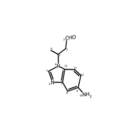 CC(CC=O)n1cnc2cc(N)ccc21